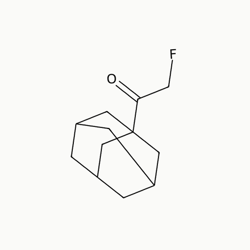 O=C(CF)C12CC3CC(CC(C3)C1)C2